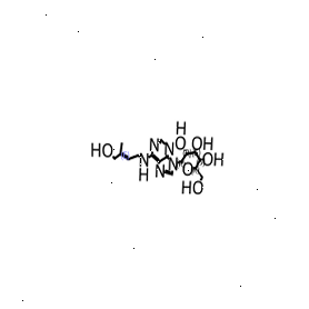 C/C(=C\CNc1ncnc2c1ncn2[C@@H]1O[C@H](CO)[C@@H](O)[C@H](O)[C@H]1O)CO